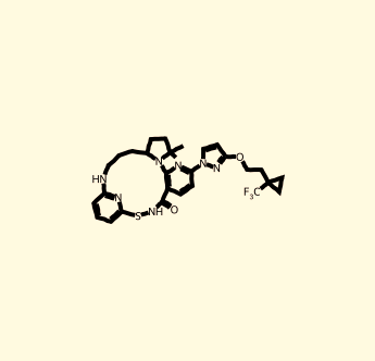 CC1(C)CCC2CCCNc3cccc(n3)SNC(=O)c3ccc(-n4ccc(OCCC5(C(F)(F)F)CC5)n4)nc3N21